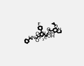 C[C@]1(C(=O)NCCc2ccccc2)COc2c1cc(C(O)(CNC(=O)c1cc(OC3CC3)c3ncccc3c1)C(F)(F)F)nc2-c1ccc(F)cc1